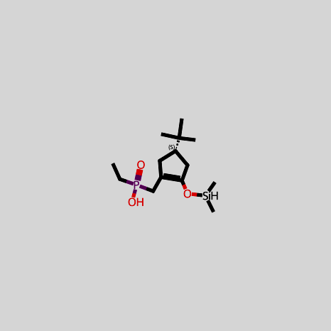 CCP(=O)(O)CC1=C(O[SiH](C)C)C[C@@H](C(C)(C)C)C1